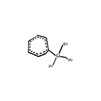 CC(C)[Si](c1ccccc1)(C(C)C)C(C)C